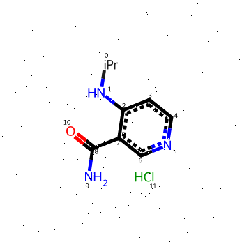 CC(C)Nc1ccncc1C(N)=O.Cl